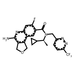 C[C@@H](C1CC1)N(Cc1ccc(C(F)(F)F)nn1)C(=O)c1cc2c3c(c(N)nc2cc1F)COC3